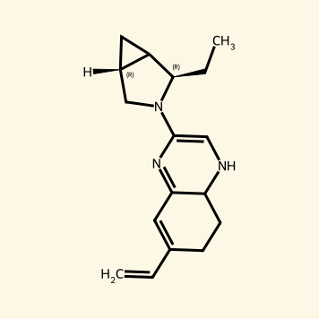 C=CC1=CC2=NC(N3C[C@@H]4CC4[C@H]3CC)=CNC2CC1